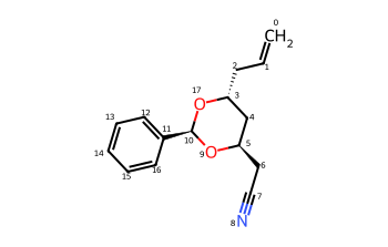 C=CC[C@@H]1C[C@@H](CC#N)O[C@@H](c2ccccc2)O1